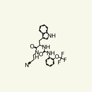 N#CCCNC(=O)C(Cc1c[nH]c2ccccc12)NC(=O)Nc1ccccc1OC(F)(F)F